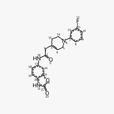 O=C(CC1=CCN(c2cccc(F)c2)CC1)Nc1ccc2[nH]c(=O)oc2c1